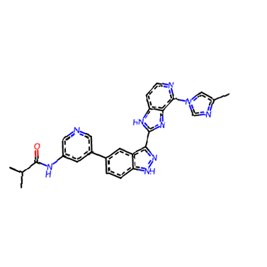 Cc1cn(-c2nccc3[nH]c(-c4n[nH]c5ccc(-c6cncc(NC(=O)C(C)C)c6)cc45)nc23)cn1